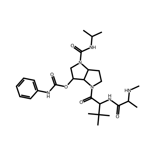 CNC(C)C(=O)NC(C(=O)N1CCC2C1C(OC(=O)Nc1ccccc1)CN2C(=O)NC(C)C)C(C)(C)C